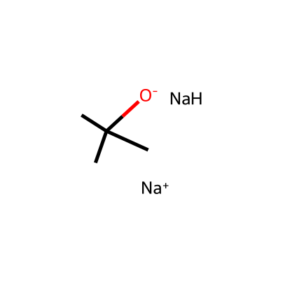 CC(C)(C)[O-].[Na+].[NaH]